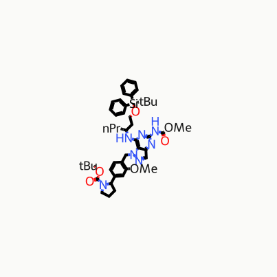 CCCC(CCO[Si](c1ccccc1)(c1ccccc1)C(C)(C)C)Nc1nc(NC(=O)OC)nc2cnn(Cc3ccc(C4CCCN4C(=O)OC(C)(C)C)cc3OC)c12